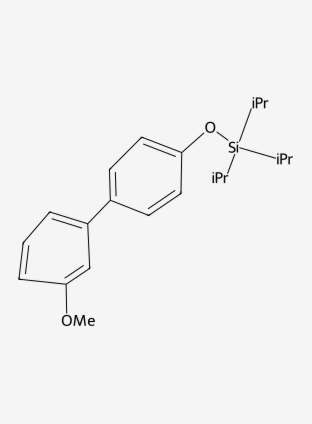 COc1cccc(-c2ccc(O[Si](C(C)C)(C(C)C)C(C)C)cc2)c1